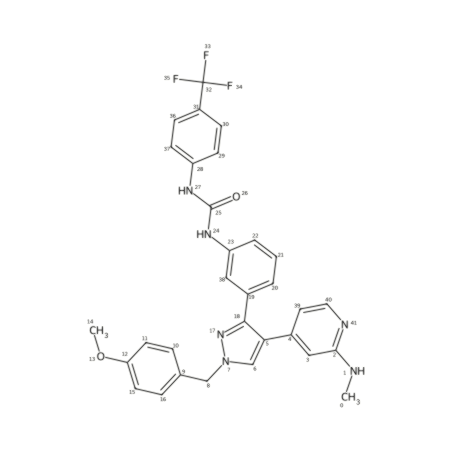 CNc1cc(-c2cn(Cc3ccc(OC)cc3)nc2-c2cccc(NC(=O)Nc3ccc(C(F)(F)F)cc3)c2)ccn1